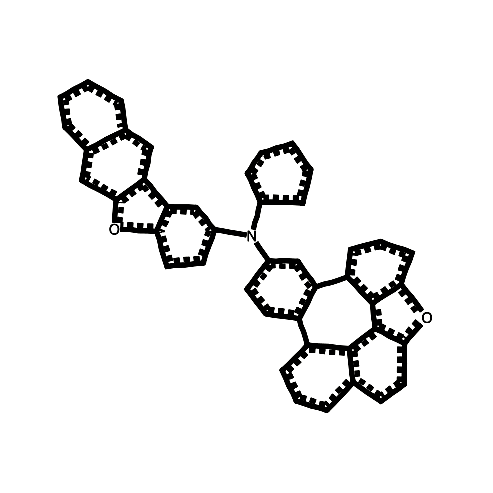 c1ccc(N(c2ccc3c(c2)-c2cccc4oc5ccc6cccc-3c6c5c24)c2ccc3oc4cc5ccccc5cc4c3c2)cc1